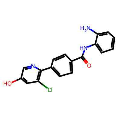 Nc1ccccc1NC(=O)c1ccc(-c2ncc(O)cc2Cl)cc1